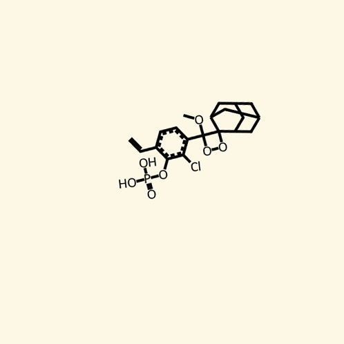 C=Cc1ccc(C2(OC)OOC23C2CC4CC(C2)CC3C4)c(Cl)c1OP(=O)(O)O